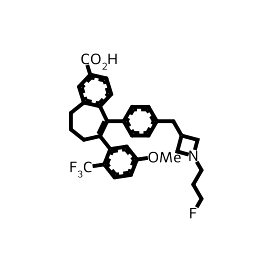 COc1ccc(C(F)(F)F)c(C2=C(c3ccc(CC4CN(CCCF)C4)cc3)c3ccc(C(=O)O)cc3CCC2)c1